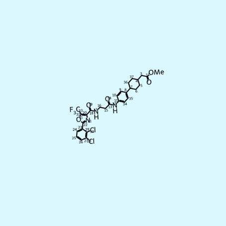 COC(=O)CC1CCC(c2ccc(NC(=O)CCNC(=O)c3nc(-c4cccc(Cl)c4Cl)oc3C(F)(F)F)cc2)CC1